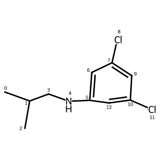 CC(C)CNc1cc(Cl)cc(Cl)c1